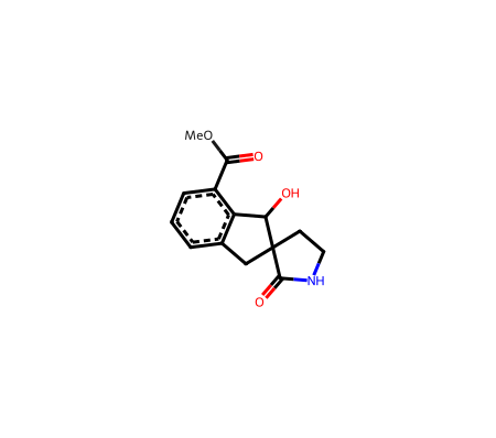 COC(=O)c1cccc2c1C(O)C1(CCNC1=O)C2